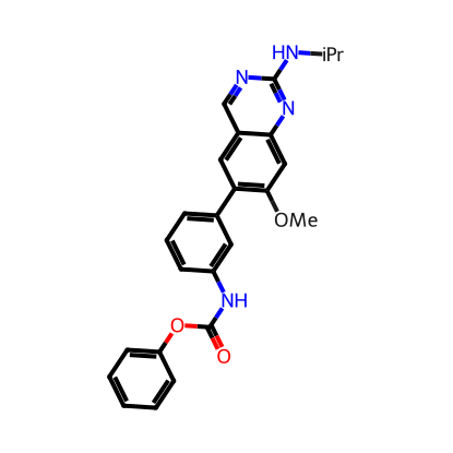 COc1cc2nc(NC(C)C)ncc2cc1-c1cccc(NC(=O)Oc2ccccc2)c1